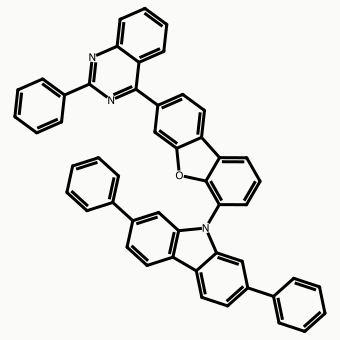 c1ccc(-c2ccc3c4ccc(-c5ccccc5)cc4n(-c4cccc5c4oc4cc(-c6nc(-c7ccccc7)nc7ccccc67)ccc45)c3c2)cc1